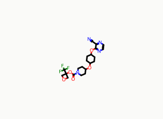 N#Cc1nccnc1OC1CCC(OC2CCN(C(=O)OC3(C(F)(F)F)COC3)CC2)CC1